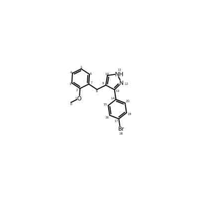 COc1ccccc1Cc1c[nH]nc1-c1ccc(Br)cc1